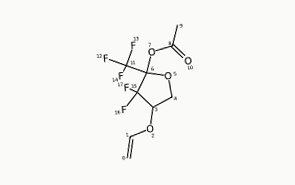 C=COC1COC(OC(C)=O)(C(F)(F)F)C1(F)F